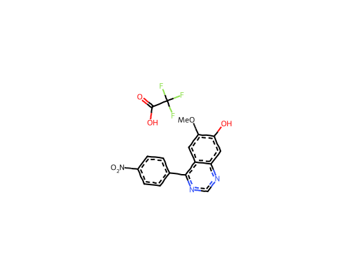 COc1cc2c(-c3ccc([N+](=O)[O-])cc3)ncnc2cc1O.O=C(O)C(F)(F)F